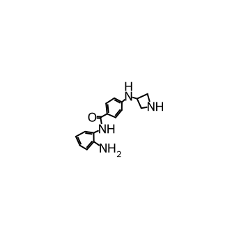 Nc1ccccc1NC(=O)c1ccc(NC2CNC2)cc1